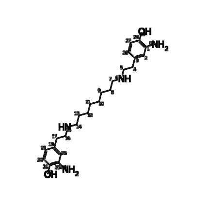 Nc1cc(CCNCCCCCCCCNCCc2ccc(O)c(N)c2)ccc1O